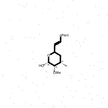 CCCCC/C=C/C1C[C@H](C)[C@H](OC)[C@H](O)O1